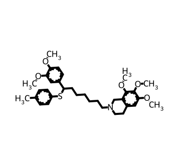 COc1ccc(C(CCCCCCN2CCc3cc(OC)c(OC)c(OC)c3C2)Sc2ccc(C)cc2)cc1OC